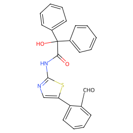 O=Cc1ccccc1-c1cnc(NC(=O)C(O)(c2ccccc2)c2ccccc2)s1